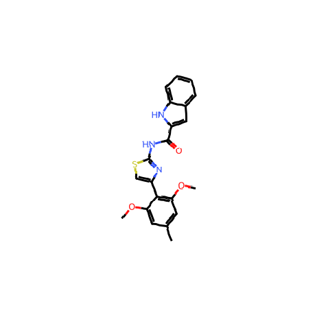 COc1cc(C)cc(OC)c1-c1csc(NC(=O)c2cc3ccccc3[nH]2)n1